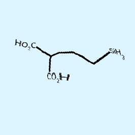 O=C(O)C(CC[SiH3])C(=O)O